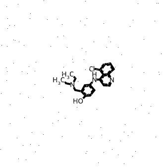 CCN(CC)Cc1cc(Nc2ccnc3cccc(Cl)c23)ccc1O